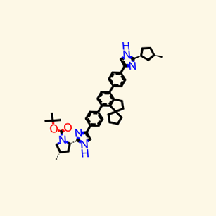 C[C@@H]1CC[C@H](c2nc(-c3ccc(-c4ccc(-c5ccc(-c6c[nH]c([C@@H]7C[C@H](C)CN7C(=O)OC(C)(C)C)n6)cc5)c5c4CCC54CCCC4)cc3)c[nH]2)C1